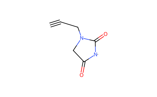 C#CCN1CC(=O)[N]C1=O